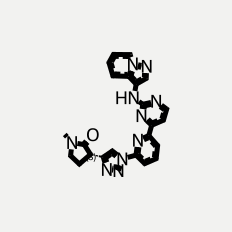 CN1CC[C@@H](c2cn(-c3cccc(-c4ccnc(Nc5cnn6ccccc56)n4)n3)nn2)C1=O